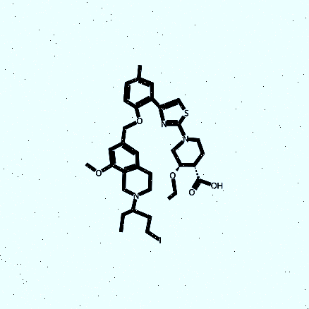 CCO[C@@H]1CN(c2nc(-c3cc(C)ccc3OCc3cc4c(c(OC)c3)CN(C(CC)CCI)CC4)cs2)CC[C@@H]1C(=O)O